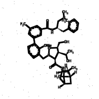 COc1c(CN2O[C@@H](CO)[C@@H]([C@H](C)O)[C@H]2C(=O)N[C@H]2C[C@H]3C[C@@H]([C@@H]2C)C3(C)C)cccc1-c1cc(C(=O)N[C@@H](Cc2ccccn2)CN(C)C)cc(C(F)(F)F)c1